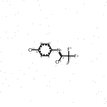 FC(F)(F)C(Cl)=Nc1ccc(Cl)cc1